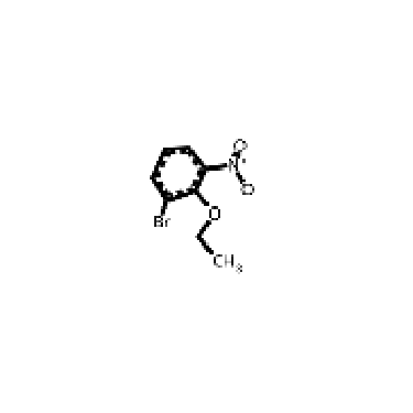 CCOc1c(Br)cccc1[N+](=O)[O-]